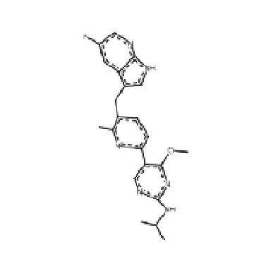 COc1nc(NC(C)C)ncc1-c1ccc(Cc2c[nH]c3ncc(F)cc23)c(C)n1